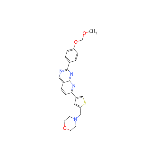 COCOc1ccc(-c2ncc3ccc(-c4csc(CN5CCOCC5)c4)nc3n2)cc1